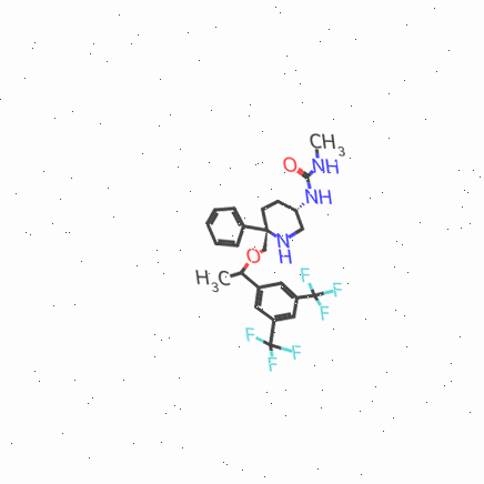 CNC(=O)N[C@H]1CC[C@@](COC(C)c2cc(C(F)(F)F)cc(C(F)(F)F)c2)(c2ccccc2)NC1